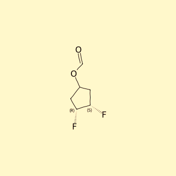 O=COC1C[C@@H](F)[C@@H](F)C1